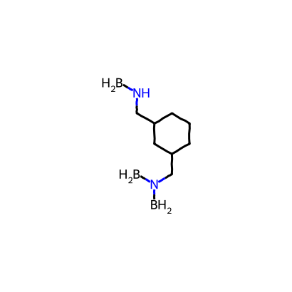 BNCC1CCCC(CN(B)B)C1